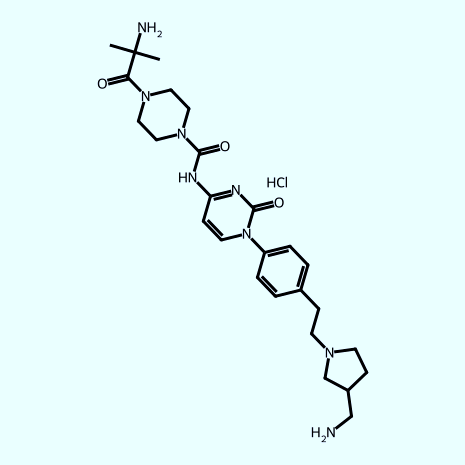 CC(C)(N)C(=O)N1CCN(C(=O)Nc2ccn(-c3ccc(CCN4CCC(CN)C4)cc3)c(=O)n2)CC1.Cl